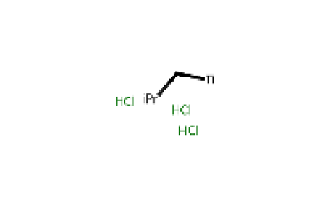 CC(C)[CH2][Ti].Cl.Cl.Cl